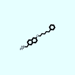 CC(C)NCc1ccc2cc(OCCCCCc3ccccc3)ccc2c1